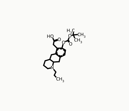 CCCN1CCCC2Cc3c(ccc(OC(=O)OC(C)(C)C)c3CC(=O)O)CC21